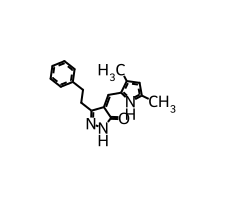 Cc1cc(C)c(C=C2C(=O)NN=C2CCc2ccccc2)[nH]1